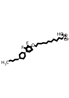 CCCCC[C@H]1CC[C@H](c2ccc(OCCCCCCCCCCCP(=O)(O)O)c(F)c2F)CC1